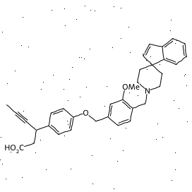 CC#CC(CC(=O)O)c1ccc(OCc2ccc(CN3CCC4(C=Cc5ccccc54)CC3)c(OC)c2)cc1